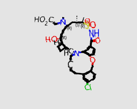 C[C@@H]1[C@@H](C)C[C@@H](N(C)CC(=O)O)C[C@@H](O)[C@@H]2CC[C@H]2CN2CCCCc3cc(Cl)ccc3COc3ccc(cc32)C(=O)NS1(=O)=O